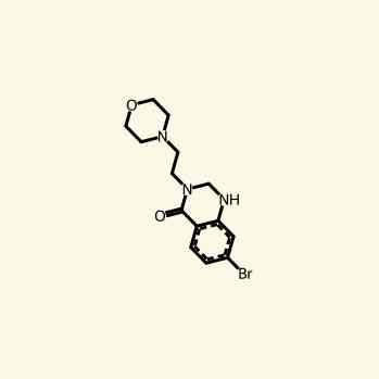 O=C1c2ccc(Br)cc2NCN1CCN1CCOCC1